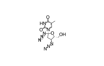 Cc1cn([C@@]2(N=[N+]=[N-])C[C@H](N=[N+]=[N-])[C@@H](CO)O2)c(=O)[nH]c1=O